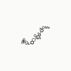 COc1ccc(-c2cc3ncn([C@H]4CCc5cc(CN6CCN(S(C)(=O)=O)CC6)ccc5C4)c(=O)c3s2)cn1